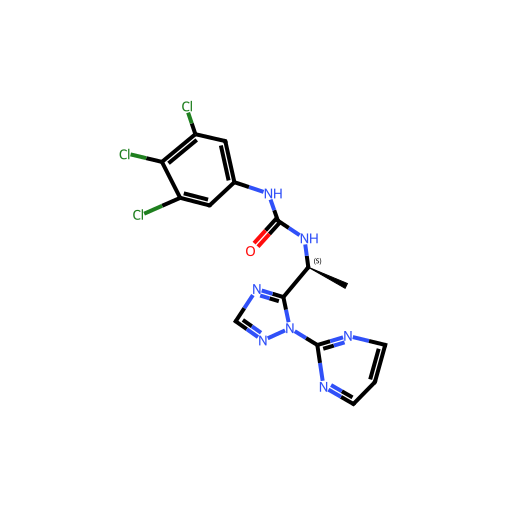 C[C@H](NC(=O)Nc1cc(Cl)c(Cl)c(Cl)c1)c1ncnn1-c1ncccn1